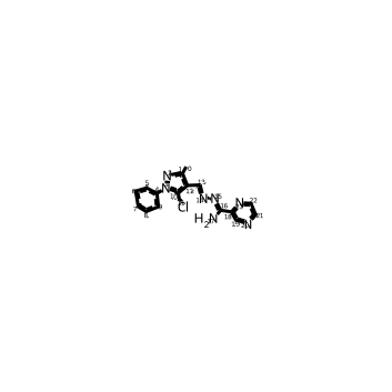 Cc1nn(-c2ccccc2)c(Cl)c1C=NN=C(N)c1cnccn1